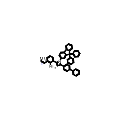 C/C=C\c1cccc(C2=CC(c3ccc(-c4ccccc4)cc3)N2c2ccc3c(c2)C(c2ccccc2)(c2ccccc2)c2ccccc2-3)c1N